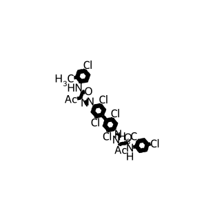 CC(=O)C(N=Nc1cc(Cl)c(-c2cc(Cl)c(N=NC(C(C)=O)C(=O)Nc3ccc(Cl)cc3C)cc2Cl)cc1Cl)C(=O)Nc1ccc(Cl)cc1C